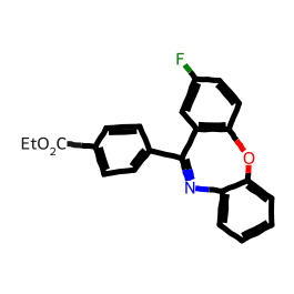 CCOC(=O)c1ccc(C2=Nc3ccccc3Oc3ccc(F)cc32)cc1